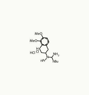 CCCCC(N)N(CCC)C1CCc2c(ccc(OC)c2OC)C1.Cl.Cl